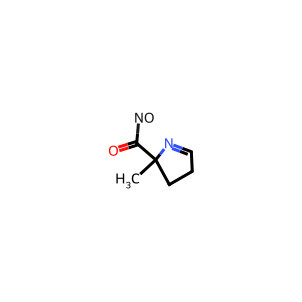 CC1(C(=O)N=O)CCC=N1